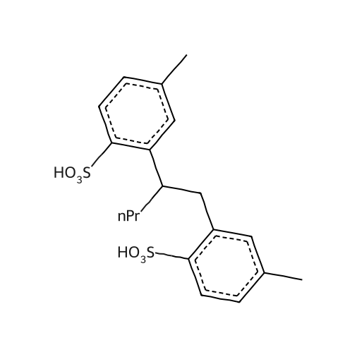 CCCC(Cc1cc(C)ccc1S(=O)(=O)O)c1cc(C)ccc1S(=O)(=O)O